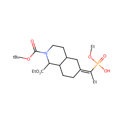 CCOC(=O)C1C2CCC(=C(CC)P(=O)(O)OCC)CC2CCN1C(=O)OC(C)(C)C